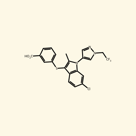 Cc1c(Sc2cccc(C(=O)O)c2)c2ccc(Cl)cc2n1-c1cnn(CC(F)(F)F)c1